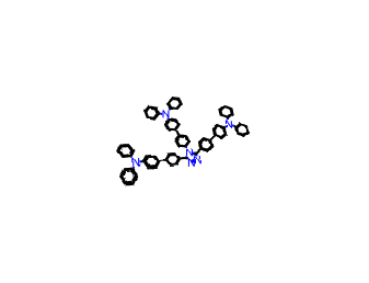 c1ccc(N(c2ccccc2)c2ccc(-c3ccc(-c4nnc(-c5ccc(-c6ccc(N(c7ccccc7)c7ccccc7)cc6)cc5)n4-c4ccc(-c5ccc(N(c6ccccc6)c6ccccc6)cc5)cc4)cc3)cc2)cc1